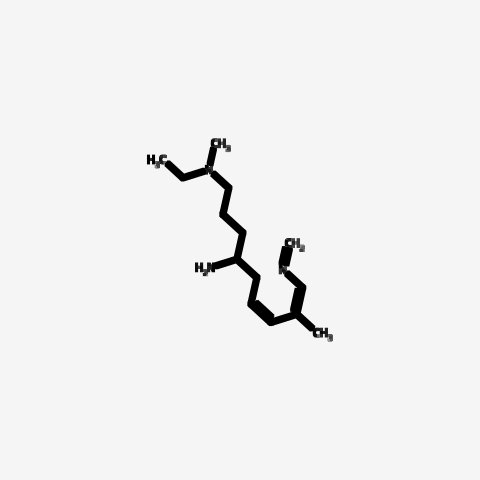 C=N/C=C(C)\C=C/CC(N)CCCN(C)CC